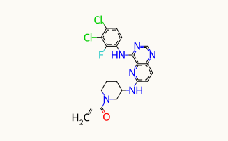 C=CC(=O)N1CCCC(Nc2ccc3ncnc(Nc4ccc(Cl)c(Cl)c4F)c3n2)C1